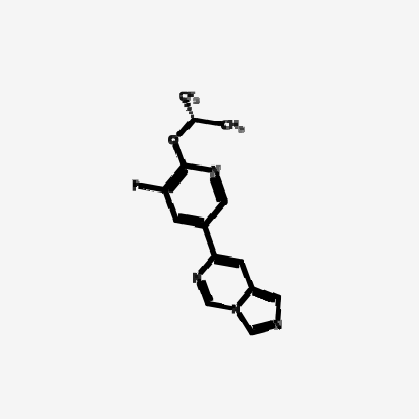 C[C@H](Oc1ncc(-c2cc3cncn3cn2)cc1F)C(F)(F)F